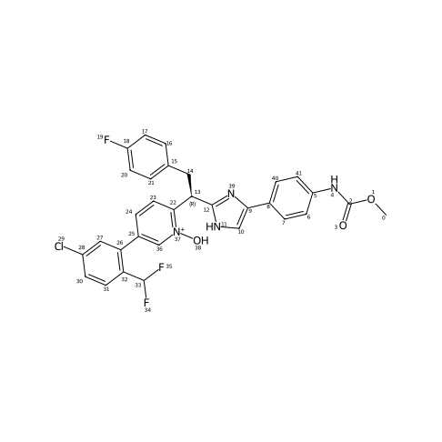 COC(=O)Nc1ccc(-c2c[nH]c([C@H](Cc3ccc(F)cc3)c3ccc(-c4cc(Cl)ccc4C(F)F)c[n+]3O)n2)cc1